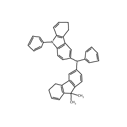 CC1(C)C2=C(CCC=C2)c2cc(N(c3ccccc3)c3ccc4c(c3)c3c(n4-c4ccccc4)C=CCC3)ccc21